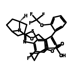 O=C(O)c1cc(F)c2nc(N3C4CC[C@H]3CC(OCc3c(-c5ccccc5OC(F)(F)F)noc3C3CC3)C4)sc2c1